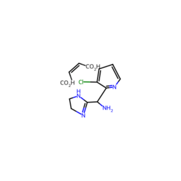 NC(C1=NCCN1)c1ncccc1Cl.O=C(O)/C=C\C(=O)O